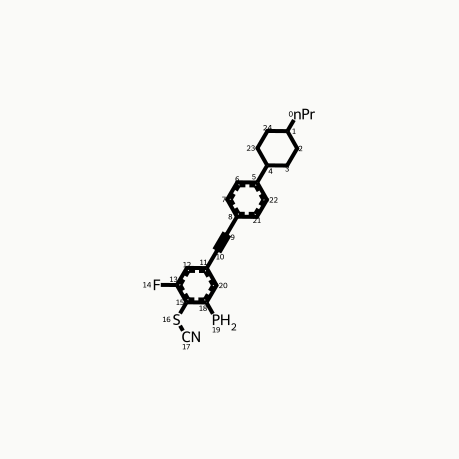 CCCC1CCC(c2ccc(C#Cc3cc(F)c(SC#N)c(P)c3)cc2)CC1